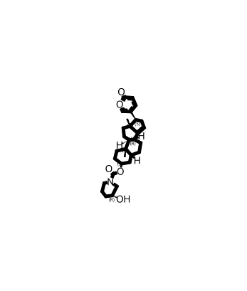 C[C@]12CC[C@H](OC(=O)N3CCC[C@@H](O)C3)C[C@H]1CC[C@H]1C3=CC[C@H](c4ccc(=O)oc4)[C@@]3(C)CC[C@@H]12